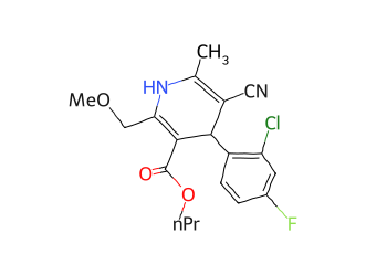 CCCOC(=O)C1=C(COC)NC(C)=C(C#N)C1c1ccc(F)cc1Cl